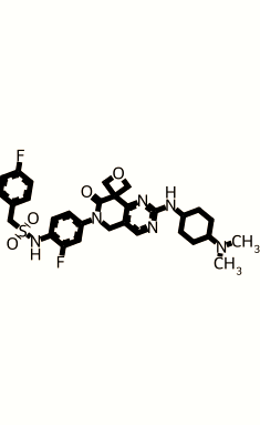 CN(C)C1CCC(Nc2ncc3c(n2)C2(COC2)C(=O)N(c2ccc(NS(=O)(=O)Cc4ccc(F)cc4)c(F)c2)C3)CC1